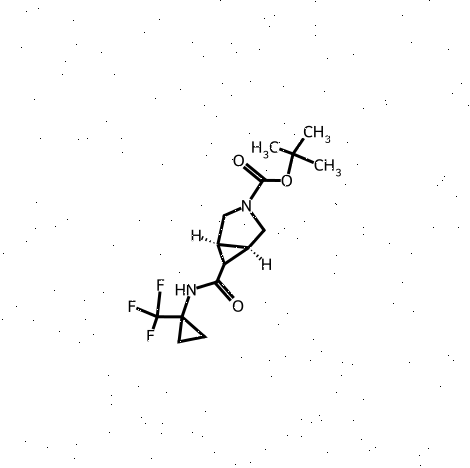 CC(C)(C)OC(=O)N1C[C@@H]2C(C(=O)NC3(C(F)(F)F)CC3)[C@@H]2C1